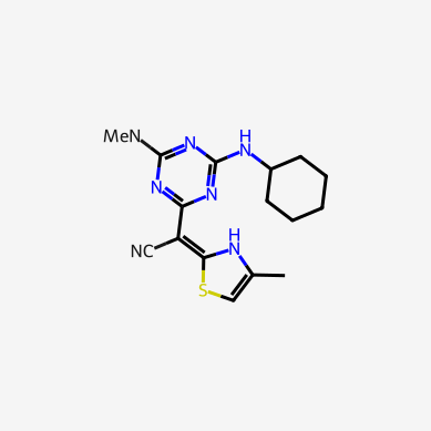 CNc1nc(NC2CCCCC2)nc(C(C#N)=C2NC(C)=CS2)n1